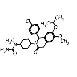 COc1cc2c(cc1OC(C)C)C(c1ccc(Cl)cc1)N(C1CCC(N(C)C(N)=O)CC1)C(=O)C2